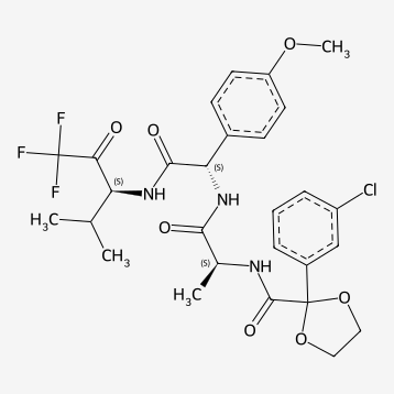 COc1ccc([C@H](NC(=O)[C@H](C)NC(=O)C2(c3cccc(Cl)c3)OCCO2)C(=O)N[C@H](C(=O)C(F)(F)F)C(C)C)cc1